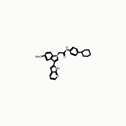 COc1ccc2c(c1)c(-c1cc3cccnc3[nH]1)cn2CC(=O)Nc1ccc(C2CCCCC2)cc1